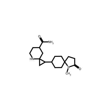 CN1C(=O)CCC12CCC(C1CC13CC(C(N)=O)CCN3)CC2